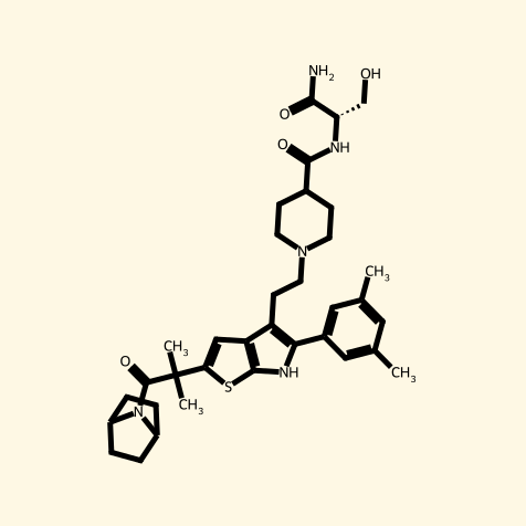 Cc1cc(C)cc(-c2[nH]c3sc(C(C)(C)C(=O)N4C5CCC4CC5)cc3c2CCN2CCC(C(=O)N[C@@H](CO)C(N)=O)CC2)c1